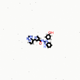 O=C(/N=c1\[nH]c2ccccc2n1[C@H]1CC[C@@H](O)CC1)c1ccnc(-c2cccn3ncnc23)c1